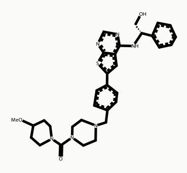 COC1CCN(C(=O)N2CCN(Cc3ccc(-c4cc5c(N[C@H](CO)c6ccccc6)ncnc5s4)cc3)CC2)CC1